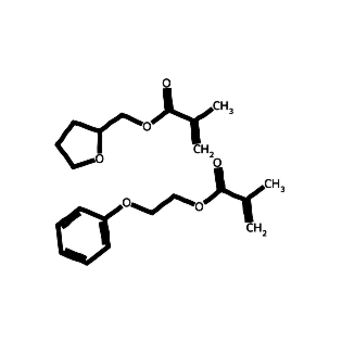 C=C(C)C(=O)OCC1CCCO1.C=C(C)C(=O)OCCOc1ccccc1